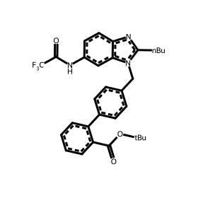 CCCCc1nc2ccc(NC(=O)C(F)(F)F)cc2n1Cc1ccc(-c2ccccc2C(=O)OC(C)(C)C)cc1